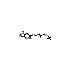 C/C(=C\COc1ccc2c(c1)OC(C)(C)C2)CCCC(C)(C)C